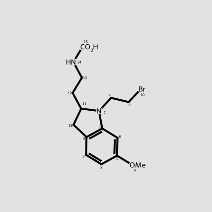 COc1ccc2c(c1)N(CCBr)C(CCNC(=O)O)C2